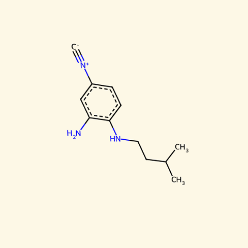 [C-]#[N+]c1ccc(NCCC(C)C)c(N)c1